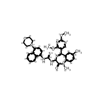 COc1ncc(C2=NC(NC(=S)Nc3ccc(N4CCOCC4)c4ccccc34)C(=O)N(C)c3ccc(C)cc32)c(OC)n1